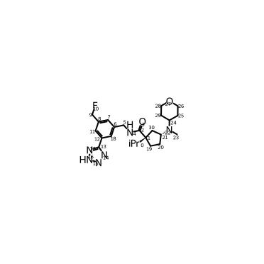 CC(C)[C@]1(C(=O)NCc2cc(CF)cc(-c3nn[nH]n3)c2)CC[C@@H](N(C)C2CCOCC2)C1